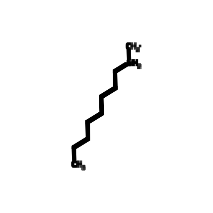 [CH2][SiH2]CCCCCCCC